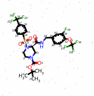 CC(C)(C)OC(=O)N1CCN(S(=O)(=O)c2ccc(C(F)(F)F)cc2)[C@@H](C(=O)NCc2ccc(OC(F)(F)F)c(F)c2)C1